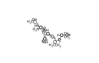 CC1(C)CCC(CN2CCN(c3ccc(C(=O)NS(=O)(=O)c4ccc(NCC5CCC(C)(O)CC5)c([N+](=O)[O-])c4)c(Oc4cnc5[nH]ccc5c4)c3)CC2)=C(c2cc(-c3cc(C(C)(C)O)ccc3F)cs2)C1